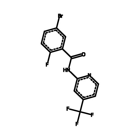 O=C(Nc1cc(C(F)(F)F)ccn1)c1cc(Br)ccc1F